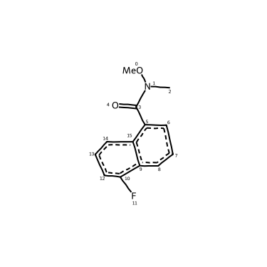 CON(C)C(=O)c1cccc2c(F)cccc12